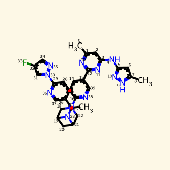 Cc1cc(Nc2cc(C)[nH]n2)nc(-c2ccc(N3CC4CC(C3)N4C(C)c3ccc(-n4cc(F)cn4)nc3)nc2)n1